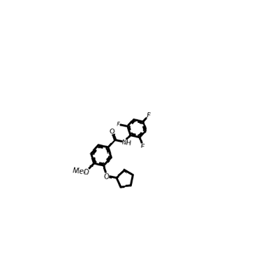 COc1ccc(C(=O)Nc2c(F)cc(F)cc2F)cc1OC1CCCC1